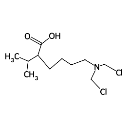 CC(C)C(CCCCN(CCl)CCl)C(=O)O